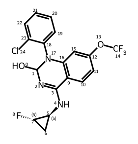 OC1N=C(N[C@H]2C[C@@H]2F)c2ccc(OC(F)(F)F)cc2N1c1ccccc1Cl